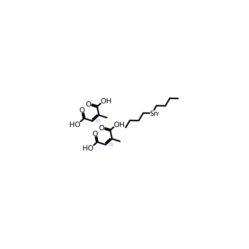 C/C(=C/C(=O)O)C(=O)O.C/C(=C/C(=O)O)C(=O)O.CCC[CH2][Sn][CH2]CCC